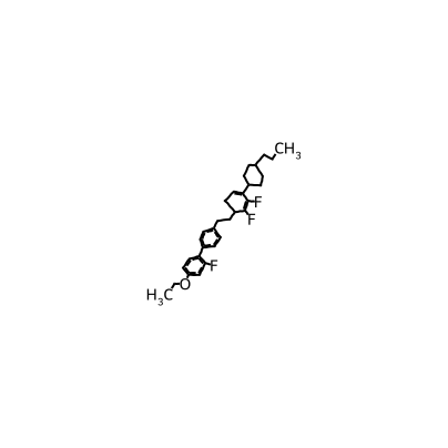 CCCC1CCC(C2=CCC(CCc3ccc(-c4ccc(OCC)cc4F)cc3)C(F)=C2F)CC1